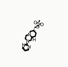 CS(=O)(=O)OC[C@@H]1CC[C@@H]2CN(c3ncccn3)CCN2C1